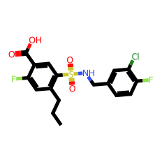 CCCc1cc(F)c(C(=O)O)cc1S(=O)(=O)NCc1ccc(F)c(Cl)c1